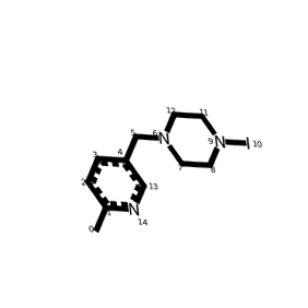 Cc1ccc(CN2CCN(I)CC2)cn1